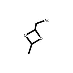 CC(=O)CC1OC(C)O1